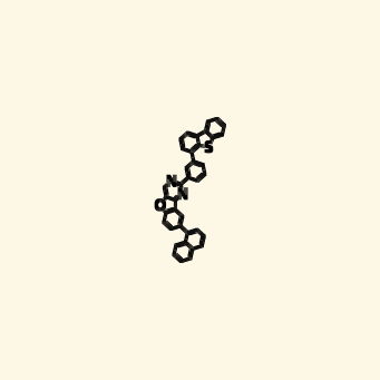 c1cc(-c2ncc3oc4ccc(-c5cccc6ccccc56)cc4c3n2)cc(-c2cccc3c2sc2ccccc23)c1